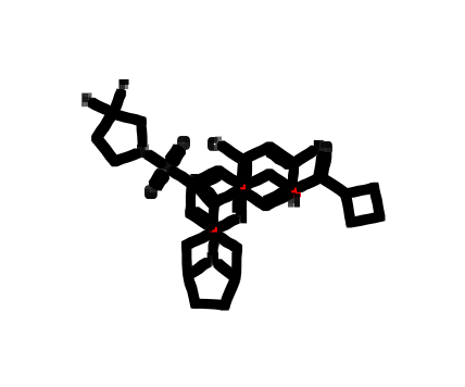 O=C(NCc1cc(S(=O)(=O)N2CCC(F)(F)C2)cc(N2C3CCC2CN(C(=O)c2ccc(F)cc2Cl)C3)n1)C1CCC1